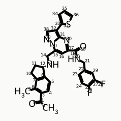 CC(=O)c1ccc2c(c1C)CC[C@@H]2NCc1cc(C(=O)NCc2ccc(F)c(F)c2)nc2c(-c3cccs3)cnn12